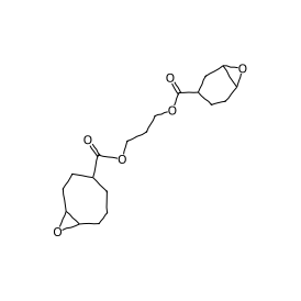 O=C(OCCCOC(=O)C1CCC2OC2C1)C1CCCC2OC2CC1